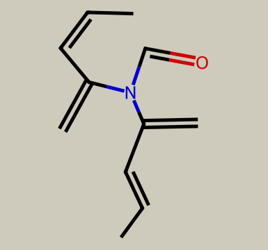 C=C(/C=C\C)N(C=O)C(=C)/C=C/C